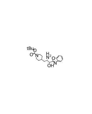 CC(C)(C)OC(=O)N1CCC(C[C@H](N)C(O)c2nc3ccccc3o2)CC1